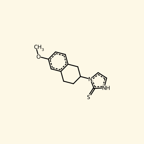 COc1ccc2c(c1)CCC(n1cc[nH]c1=S)C2